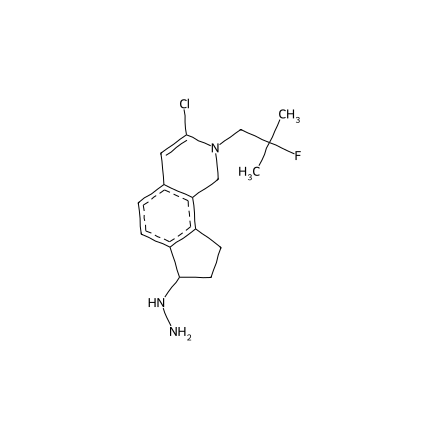 CC(C)(F)CN1Cc2c(ccc3c2CCC3NN)C=C1Cl